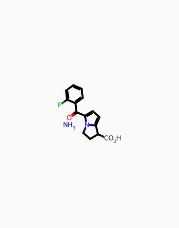 N.O=C(c1ccccc1F)c1ccc2n1CCC2C(=O)O